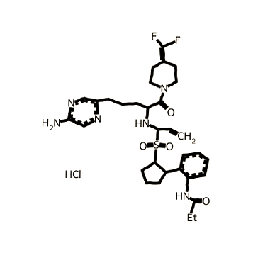 C=CC(NC(CCCc1cnc(N)cn1)C(=O)N1CCC(=C(F)F)CC1)S(=O)(=O)C1CCCC1c1ccccc1NC(=O)CC.Cl